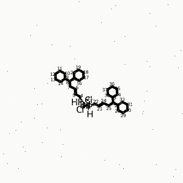 [Cl][Pd]([Cl])([PH]CC=CCC(C1CCCCC1)C1CCCCC1)[PH]CC=CCC(C1CCCCC1)C1CCCCC1